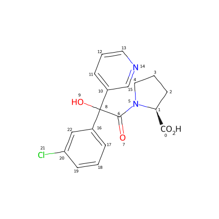 O=C(O)[C@@H]1CCCN1C(=O)C(O)(c1cccnc1)c1cccc(Cl)c1